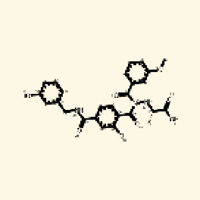 COc1cccc(C(=O)N(N[C@@H](C)C(=O)O)C(=O)c2ccc(C(=O)NCc3cccc(O)c3)cc2Cl)c1